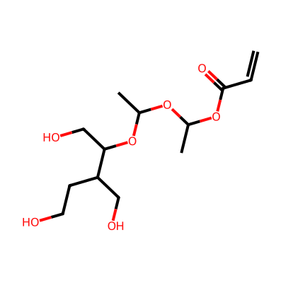 C=CC(=O)OC(C)OC(C)OC(CO)C(CO)CCO